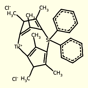 CC1=[C]2[Ti+2][C]3=C(C)C(=C(C)C3C)[Si](c3ccccc3)(c3ccccc3)C1=C(C)C2C.[Cl-].[Cl-]